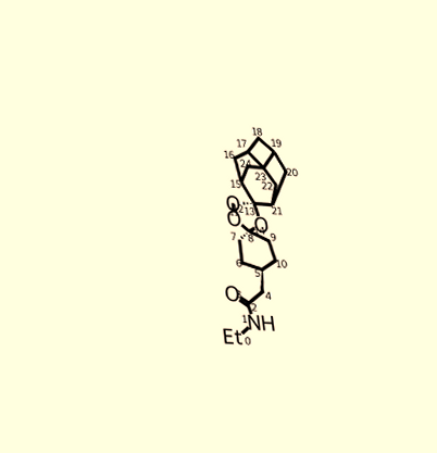 CCNC(=O)C[C@H]1CC[C@]2(CC1)OO[C@]1(O2)C2CC3CC4CC1CC34C2